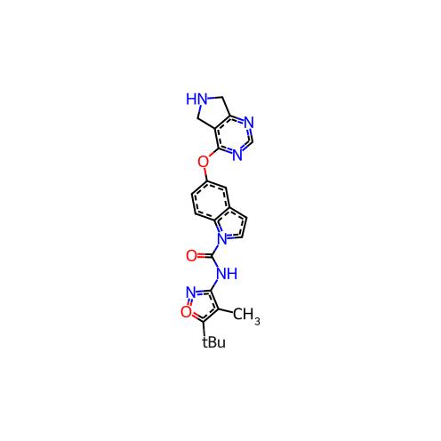 Cc1c(NC(=O)n2ccc3cc(Oc4ncnc5c4CNC5)ccc32)noc1C(C)(C)C